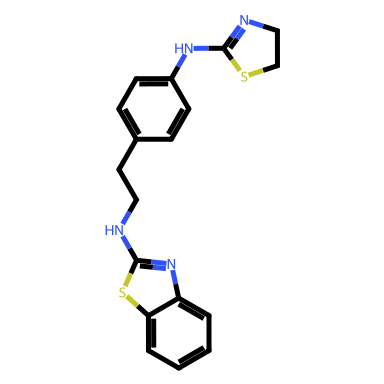 c1ccc2sc(NCCc3ccc(NC4=NCCS4)cc3)nc2c1